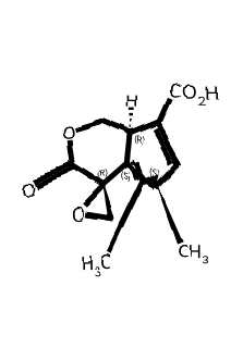 CC1=C[C@@]23C(C=C(C(=O)O)[C@@H]2COC(=O)[C@]32CO2)[C@@H]1C